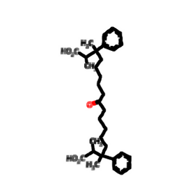 CC(C(=O)O)C(C)(CCCCCC(=O)CCCCCC(C)(c1ccccc1)C(C)C(=O)O)c1ccccc1